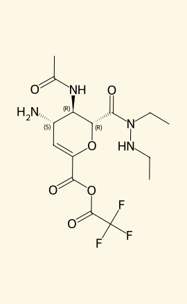 CCNN(CC)C(=O)[C@@H]1OC(C(=O)OC(=O)C(F)(F)F)=C[C@H](N)[C@H]1NC(C)=O